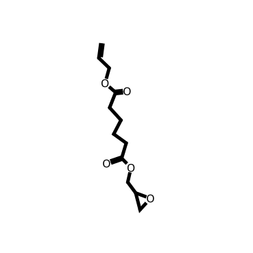 C=CCOC(=O)CCCCC(=O)OCC1CO1